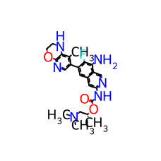 Cc1c(-c2cc3cc(NC(=O)O[C@H](C)CN(C)C)ncc3c(N)c2F)cnc2c1NCCO2